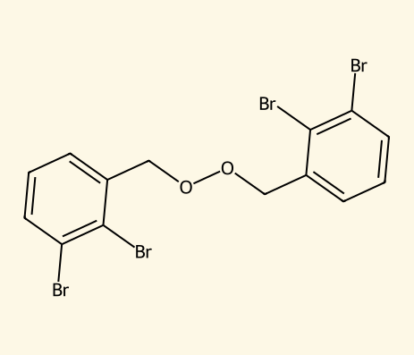 Brc1cccc(COOCc2cccc(Br)c2Br)c1Br